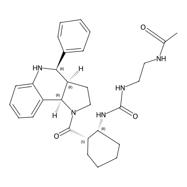 CC(=O)NCCNC(=O)N[C@@H]1CCCC[C@@H]1C(=O)N1CC[C@@H]2[C@H](c3ccccc3)Nc3ccccc3[C@@H]21